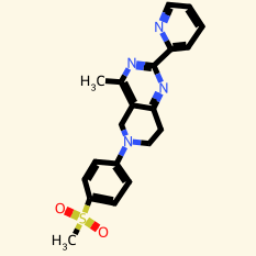 Cc1nc(-c2ccccn2)nc2c1CN(c1ccc(S(C)(=O)=O)cc1)CC2